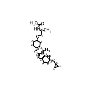 CC(=O)N[C@@H](C)CO[C@H]1CC[C@H](Oc2nc3ccc(OC4CC4)nc3n2C)CC1